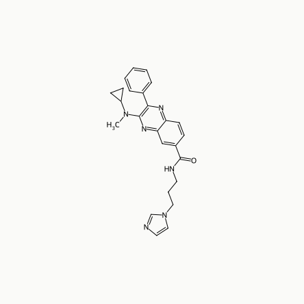 CN(c1nc2cc(C(=O)NCCCn3ccnc3)ccc2nc1-c1ccccc1)C1CC1